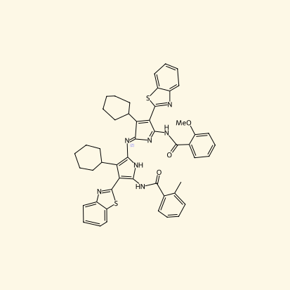 COc1ccccc1C(=O)NC1=N/C(=N\c2[nH]c(NC(=O)c3ccccc3C)c(-c3nc4ccccc4s3)c2C2CCCCC2)C(C2CCCCC2)=C1c1nc2ccccc2s1